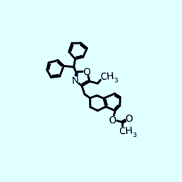 CCc1oc(C(c2ccccc2)c2ccccc2)nc1CC1CCc2c(cccc2OC(C)=O)C1